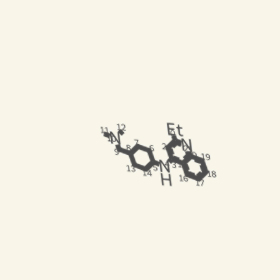 CCc1cc(NC2CCC(CN(C)C)CC2)c2ccccc2n1